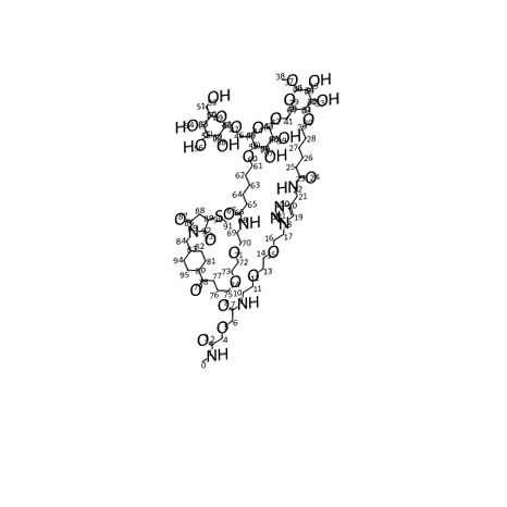 CNC(=O)COCC(=O)NCCOCCOCCn1cc(CNC(=O)CCCCCO[C@H]2[C@H](O)[C@@H](O)[C@@H](OC)O[C@@H]2CO[C@H]2O[C@H](CO[C@H]3O[C@H](CO)[C@@H](O)[C@H](O)[C@H]3O)[C@@H](OCCCCCC(=O)NCCOCCOCCCC(=O)C3CCC(CN4C(=O)CC(SC)C4=O)CC3)[C@H](O)[C@H]2O)nn1